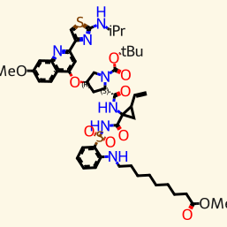 C=CC1CC1(NC(=O)[C@@H]1C[C@@H](Oc2cc(-c3csc(NC(C)C)n3)nc3cc(OC)ccc23)CN1C(=O)OC(C)(C)C)C(=O)NS(=O)(=O)c1ccccc1NCCCCCCCCC(=O)OC